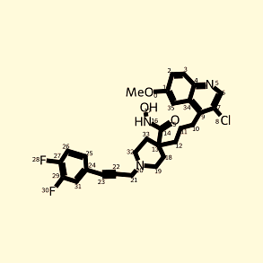 COc1ccc2ncc(Cl)c(CCCC3(C(=O)NO)CCN(CC#Cc4ccc(F)c(F)c4)CC3)c2c1